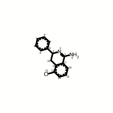 NC1=NC(c2ccccc2)Cc2c(Cl)cccc21